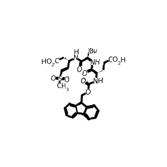 CCC(C)[C@@H](NC(=O)[C@H](CCC(=O)O)NC(=O)OCC1c2ccccc2-c2ccccc21)C(=O)N[C@H](/C=C/S(C)(=O)=O)CC(=O)O